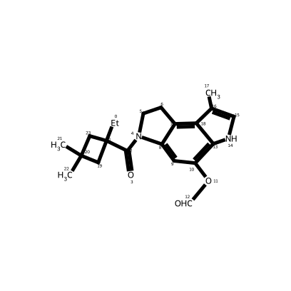 CCC1(C(=O)N2CCc3c2cc(OC=O)c2[nH]cc(C)c32)CC(C)(C)C1